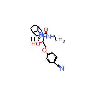 CCNC(=O)N(C)C1C2CCC1CN(CC(O)COc1ccc(C#N)cc1)C2